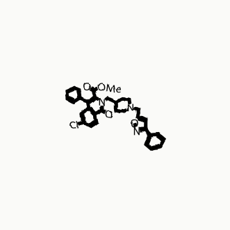 COC(=O)c1c(-c2ccccc2)c2cc(Cl)ccc2c(=O)n1CC1CCN(Cc2cc(-c3ccccc3)no2)CC1